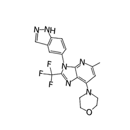 Cc1cc(N2CCOCC2)c2nc(C(F)(F)F)n(-c3ccc4[nH]ncc4c3)c2n1